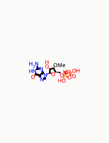 CO[C@H]1[C@@H](O)[C@H](n2cnc3c(=O)[nH]c(N)nc32)O[C@@H]1COP(=O)(O)OP(=O)(O)O